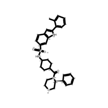 Cc1ccccc1-c1cc2ccc(S(=O)(=O)NC3CCC(C(=O)N4CCOC[C@@H]4c4ccccc4)CC3)cc2[nH]1